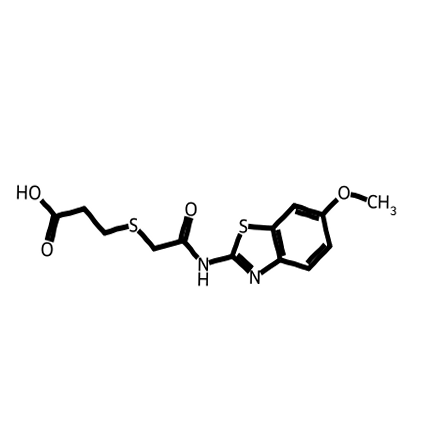 COc1ccc2nc(NC(=O)CSCCC(=O)O)sc2c1